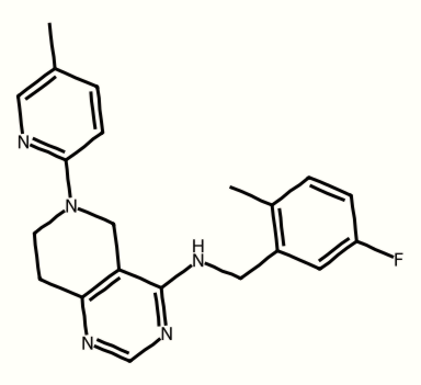 Cc1ccc(N2CCc3ncnc(NCc4cc(F)ccc4C)c3C2)nc1